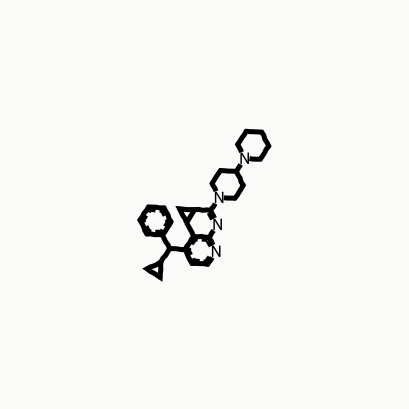 c1ccc(C(c2ccnc3c2C2CC2C(N2CCC(N4CCCCC4)CC2)=N3)C2CC2)cc1